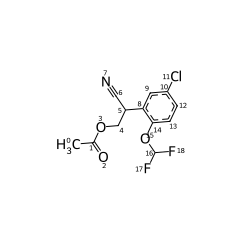 CC(=O)OCC(C#N)c1cc(Cl)ccc1OC(F)F